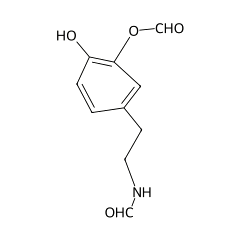 O=CNCCc1ccc(O)c(OC=O)c1